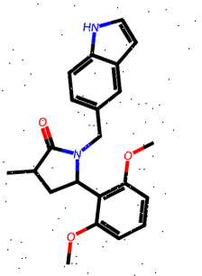 COc1cccc(OC)c1C1CC(C)C(=O)N1Cc1ccc2[nH]ccc2c1